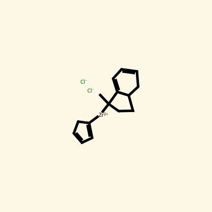 C[C]1([Zr+2][C]2=CC=CC2)CCC2CC=CC=C21.[Cl-].[Cl-]